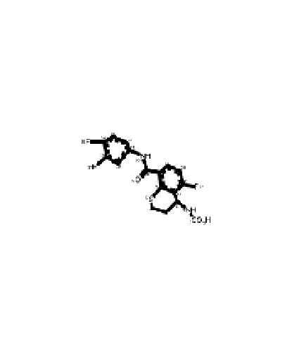 O=C(O)NC1CCSc2c(C(=O)Nc3ccc(F)c(F)c3)ccc(F)c21